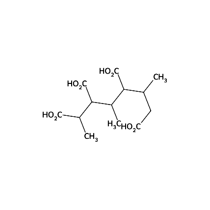 CC(CC(=O)O)C(C(=O)O)C(C)C(C(=O)O)C(C)C(=O)O